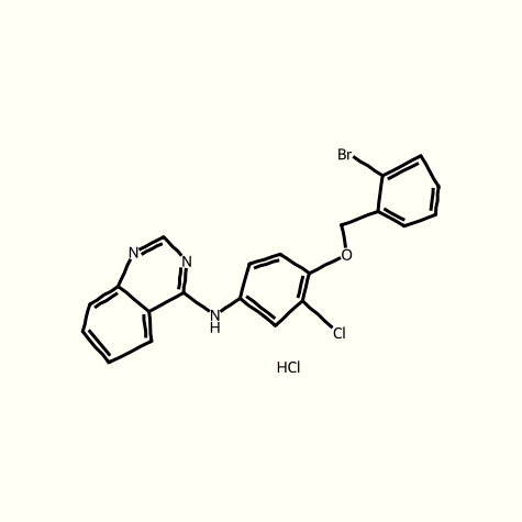 Cl.Clc1cc(Nc2ncnc3ccccc23)ccc1OCc1ccccc1Br